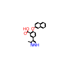 Cc1n[nH]cc1-c1ccc(Oc2ccc3ccccc3c2)c(C(=O)O)c1